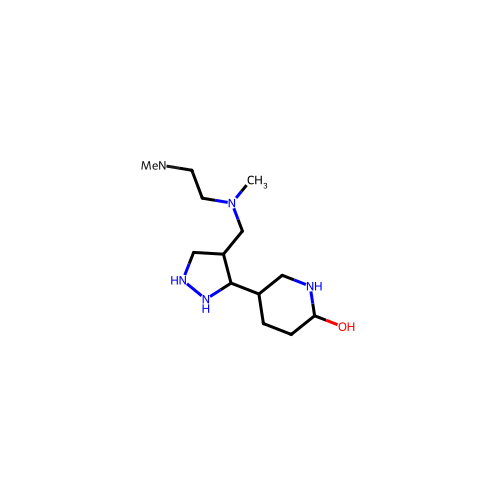 CNCCN(C)CC1CNNC1C1CCC(O)NC1